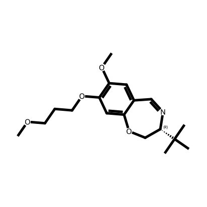 COCCCOc1cc2c(cc1OC)C=N[C@H](C(C)(C)C)CO2